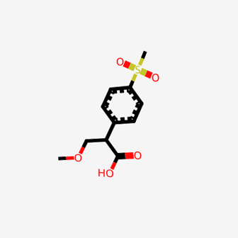 COCC(C(=O)O)c1ccc(S(C)(=O)=O)cc1